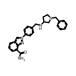 NC(=O)c1cccc2cn(-c3ccc(CNC4CCN(Cc5ccccc5)C4)cc3)nc12